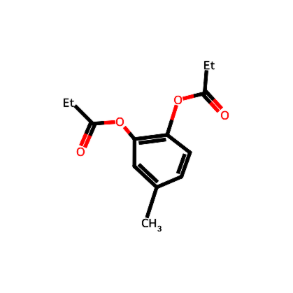 CCC(=O)Oc1ccc(C)cc1OC(=O)CC